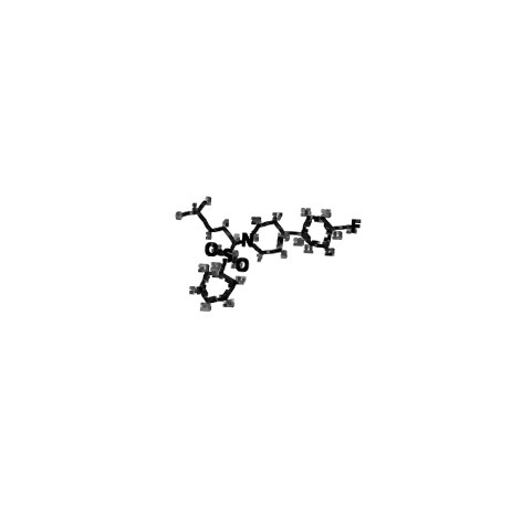 CC(C)CCC(N1CC=C(c2ccc(F)cc2)CC1)S(=O)(=O)c1ccccc1